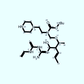 C=CNC(=C)N/C(N)=N\C(O)C(C=CC)[C@H](C)OCN(CCN1CCNCC1)C(=O)OC(C)(C)C